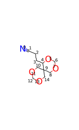 N#CCCC1OCOCC12COCOC2